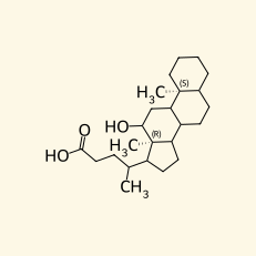 CC(CCC(=O)O)C1CCC2C3CCC4CCCC[C@]4(C)C3CC(O)[C@]12C